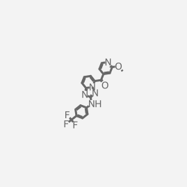 COc1cc(C(=O)c2cccc3nc(Nc4ccc(C(F)(F)F)cc4)nn23)ccn1